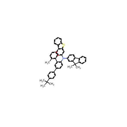 Cc1ccccc1-c1cc(-c2ccc(C(C)(C)C)cc2)ccc1N(c1ccc2c(c1)C(C)(C)c1ccccc1-2)c1ccc2c(c1)sc1ccccc12